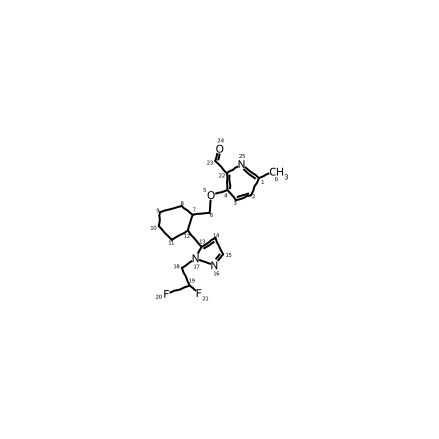 Cc1ccc(OCC2CCCCC2c2ccnn2CC(F)F)c(C=O)n1